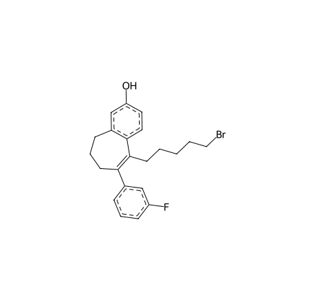 Oc1ccc2c(c1)CCCC(c1cccc(F)c1)=C2CCCCCBr